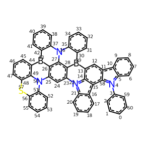 c1ccc(-n2c3ccccc3c3cc4c5c(c6ccccc6n5-c5cc6c7c8c5B4c4ccccc4N8c4ccccc4B7c4cccc5c4N6c4ccccc4S5)c32)cc1